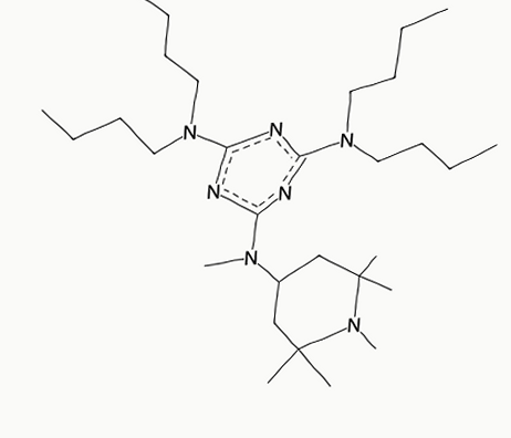 CCCCN(CCCC)c1nc(N(CCCC)CCCC)nc(N(C)C2CC(C)(C)N(C)C(C)(C)C2)n1